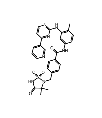 Cc1ccc(NC(=O)c2ccc(CN3C(C)(C)C(=O)NS3(=O)=O)cc2)cc1Nc1nccc(-c2cccnc2)n1